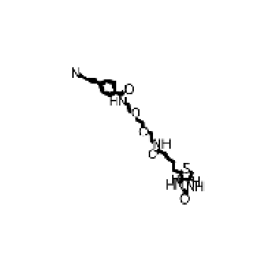 N#CC#Cc1ccc(C(=O)NCCOCCOCCNC(=O)CCCCC2SC[C@@H]3NC(=O)N[C@H]23)cc1